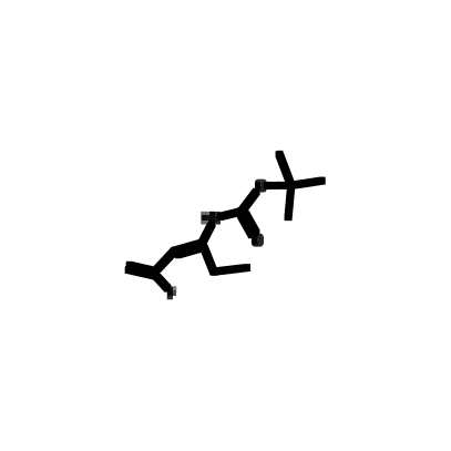 C=C(F)/C=C(\CC)NC(=O)OC(C)(C)C